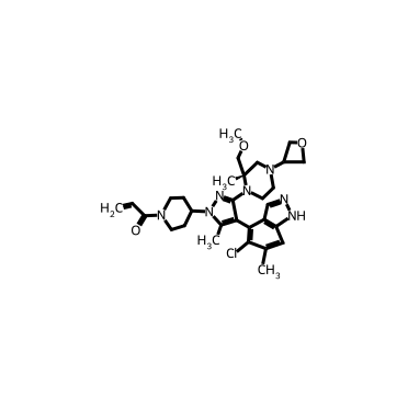 C=CC(=O)N1CCC(n2nc(N3CCN(C4COC4)C[C@@]3(C)COC)c(-c3c(Cl)c(C)cc4[nH]ncc34)c2C)CC1